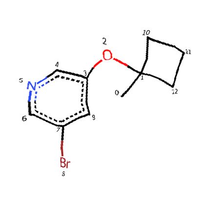 CC1(Oc2cncc(Br)c2)CCC1